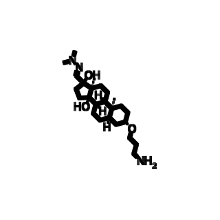 CN(C)/N=C/[C@@]1(O)CC[C@]2(O)[C@@H]3CC[C@@H]4C[C@@H](OCCCN)CC[C@]4(C)[C@H]3CC[C@]12C